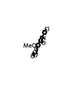 COc1cc(N2CC3=CC(c4ccc(Cl)cc4)N=C3C2=O)ccc1OCC(C)OS(C)(=O)=O